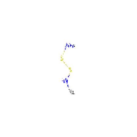 [CH2]CNSS[NH]